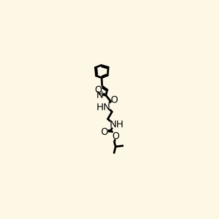 CC(C)COC(=O)NCCNC(=O)c1cc(-c2ccccc2)on1